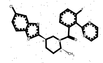 C[C@@H]1CC[C@@H](c2nc3cc(Cl)ccc3o2)CN1C(=O)c1cccc(F)c1-c1ncccn1